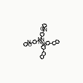 c1ccc2cc(-c3ccc4c(c3)c3cc(-c5ccc6ccccc6c5)ccc3n4-c3nc(-c4ccc(-c5nc6ccccc6o5)cc4)nc(-c4ccc(-c5nc6ccccc6o5)cc4)n3)ccc2c1